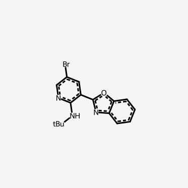 CC(C)(C)Nc1ncc(Br)cc1-c1nc2ccccc2o1